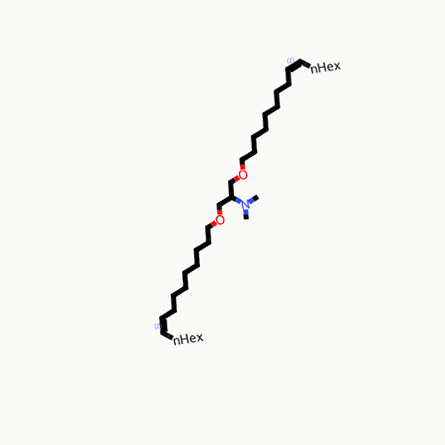 CCCCCC/C=C\CCCCCCCCOCC(COCCCCCCCC/C=C\CCCCCC)N(C)C